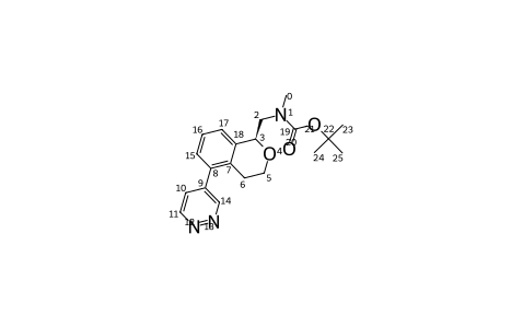 CN(C[C@H]1OCCc2c(-c3ccnnc3)cccc21)C(=O)OC(C)(C)C